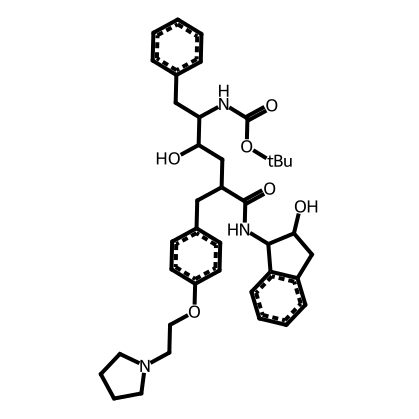 CC(C)(C)OC(=O)NC(Cc1ccccc1)C(O)CC(Cc1ccc(OCCN2CCCC2)cc1)C(=O)NC1c2ccccc2CC1O